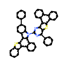 c1ccc(-c2ccc3c4c5sc6ccccc6c5c5ccccc5c4n(-c4nc(-c5ccccc5)c5sc6c7ccccc7c7ccccc7c6c5n4)c3c2)cc1